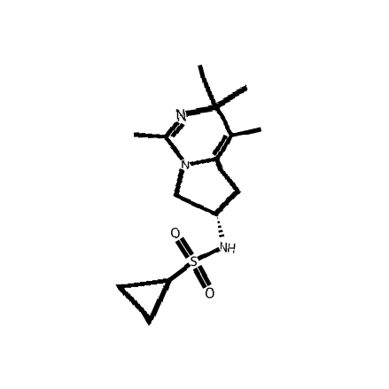 CC1=NC(C)(C)C(C)=C2C[C@H](NS(=O)(=O)C3CC3)CN12